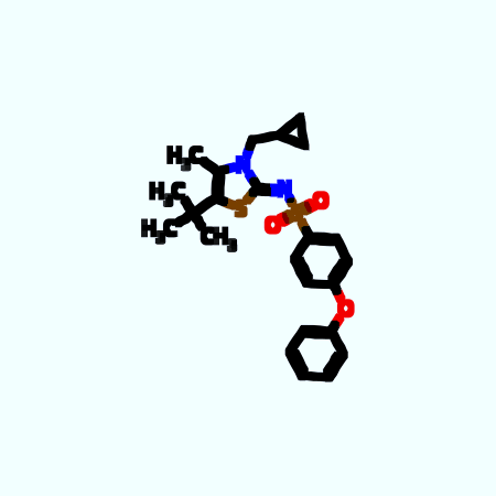 Cc1c(C(C)(C)C)s/c(=N\S(=O)(=O)c2ccc(Oc3ccccc3)cc2)n1CC1CC1